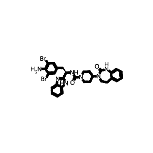 Nc1c(Br)cc(C[C@@H](NC(=O)N2CCC(N3CCc4ccccc4NC3=O)CC2)c2nc3ccccc3[nH]2)cc1Br